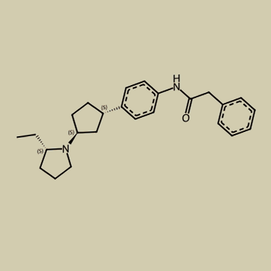 CC[C@H]1CCCN1[C@H]1CC[C@H](c2ccc(NC(=O)Cc3ccccc3)cc2)C1